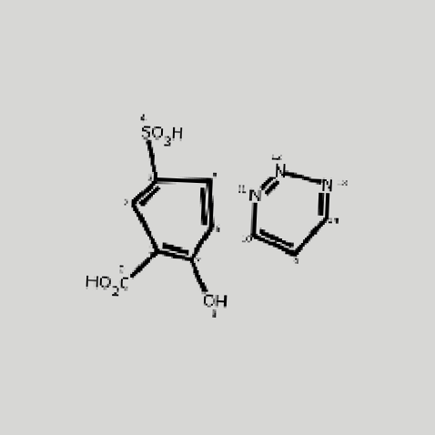 O=C(O)c1cc(S(=O)(=O)O)ccc1O.c1cnnnc1